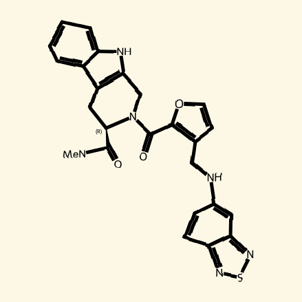 CNC(=O)[C@H]1Cc2c([nH]c3ccccc23)CN1C(=O)c1occc1CNc1ccc2nsnc2c1